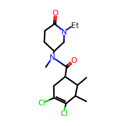 CCN1CC(N(C)C(=O)C2CC(Cl)=C(Cl)C(C)C2C)CCC1=O